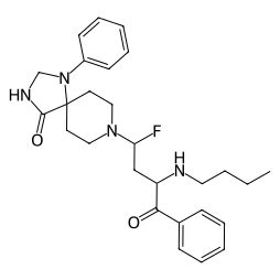 CCCCNC(CC(F)N1CCC2(CC1)C(=O)NCN2c1ccccc1)C(=O)c1ccccc1